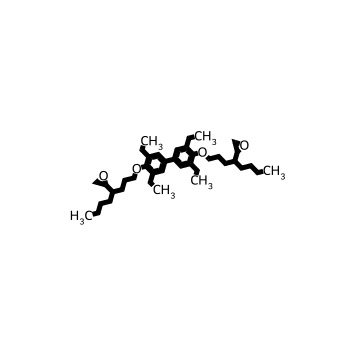 CCCCC(CCCOc1c(CC)cc(-c2cc(CC)c(OCCCC(CCCC)C3CO3)c(CC)c2)cc1CC)C1CO1